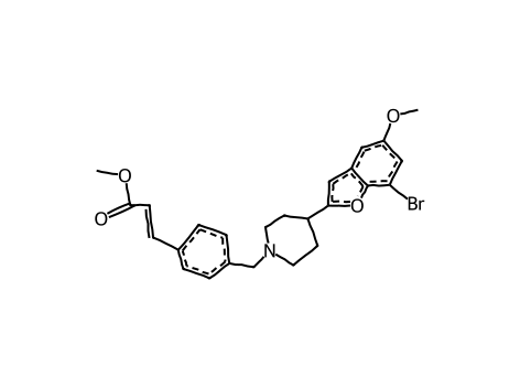 COC(=O)C=Cc1ccc(CN2CCC(c3cc4cc(OC)cc(Br)c4o3)CC2)cc1